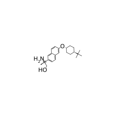 CC(C)(C)[C@H]1CC[C@H](Oc2ccc3cc([C@@](C)(N)CO)ccc3c2)CC1